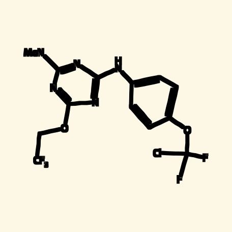 CNc1nc(Nc2ccc(OC(F)(F)Cl)cc2)nc(OCC(F)(F)F)n1